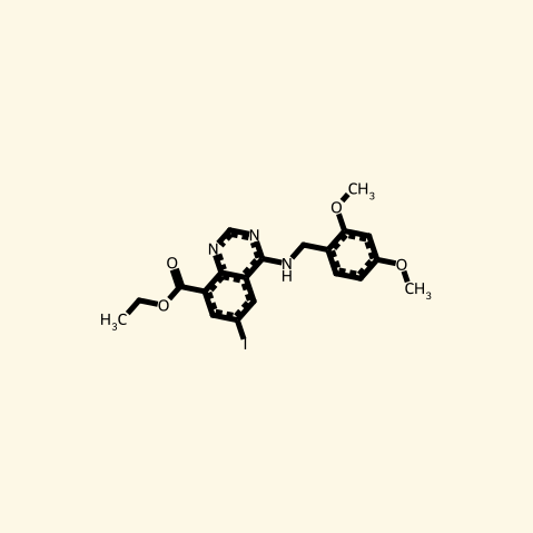 CCOC(=O)c1cc(I)cc2c(NCc3ccc(OC)cc3OC)ncnc12